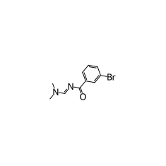 CN(C)C=NC(=O)c1cccc(Br)c1